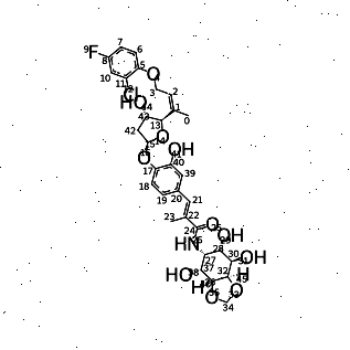 C/C(=C/COc1ccc(F)cc1Cl)[C@H]1O[C@@H](Oc2ccc(/C=C(\C)C(=O)N[C@@H]3[C@H](O)[C@@H](O)[C@H]4OCO[C@H]4[C@@H]3O)cc2O)C[C@@H]1O